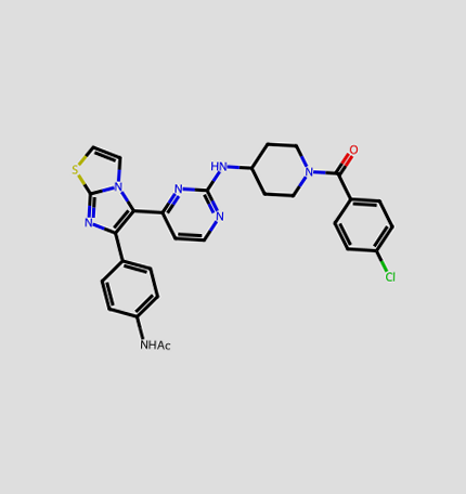 CC(=O)Nc1ccc(-c2nc3sccn3c2-c2ccnc(NC3CCN(C(=O)c4ccc(Cl)cc4)CC3)n2)cc1